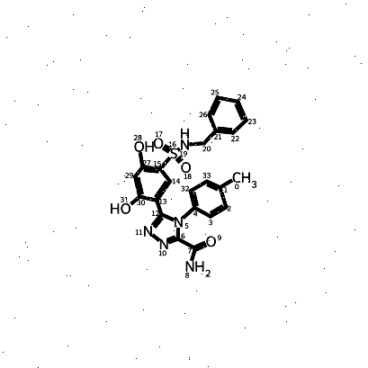 Cc1ccc(-n2c(C(N)=O)nnc2-c2cc(S(=O)(=O)NCc3ccccc3)c(O)cc2O)cc1